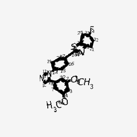 COc1cc(OC)cc(-c2cncn2-c2ccc(-c3nc4ccc(F)cc4s3)cc2)c1